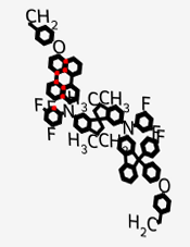 C=Cc1ccc(Oc2ccc(Cc3cc(N(c4cc(F)cc(F)c4)c4ccc5c(c4)C4(CC5(C)C)CC(C)(C)c5ccc(N(c6cc(F)cc(F)c6)c6ccc7c(c6)C(c6ccc(F)cc6)(c6ccc(Oc8ccc(C=C)cc8)cc6)c6ccccc6-7)cc54)ccc3-c3ccccc3Cc3ccc(F)cc3)cc2)cc1